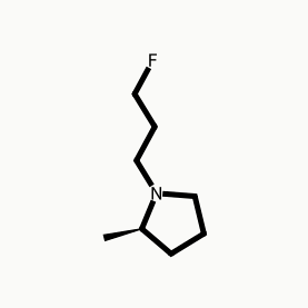 C[C@@H]1CCCN1CCCF